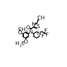 C#Cc1nc(C(=O)N(c2cc(OC)cc(OC)c2)[C@@H]2CCCN(CC(F)(F)F)C2)cs1